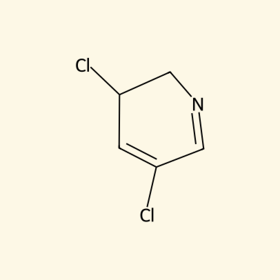 ClC1=CC(Cl)CN=C1